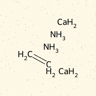 C=C.N.N.[CaH2].[CaH2]